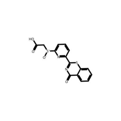 O=C(O)C[S+]([O-])c1cccc(-c2nc(=O)c3ccccc3s2)n1